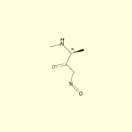 CN[C@@H](C)C(=O)CN=O